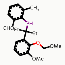 CCC(CC)(Pc1c(C)cccc1C=O)c1cccc(OC)c1OCOC